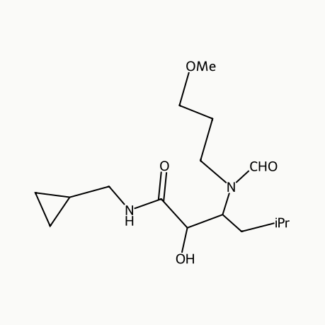 COCCCN(C=O)C(CC(C)C)C(O)C(=O)NCC1CC1